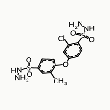 Cc1cc(S(=O)(=O)NN)ccc1Oc1ccc(S(=O)(=O)NN)c(Cl)c1